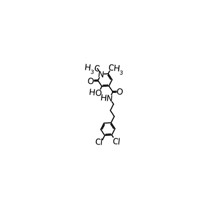 Cc1cc(C(=O)NCCCc2ccc(Cl)c(Cl)c2)c(O)c(=O)n1C